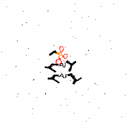 CC(C)[CH2][Al+][CH2]C(C)C.CC(C)[CH2][Al+][CH2]C(C)C.CCP(=O)([O-])[O-]